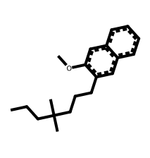 CCCC(C)(C)CCCc1cc2ccccc2cc1OC